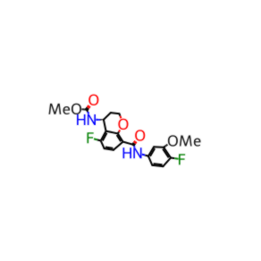 COC(=O)N[C@H]1CCOc2c(C(=O)Nc3ccc(F)c(OC)c3)ccc(F)c21